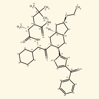 CCO[C@@H]1C[C@@H]2CN(C(=O)[C@@H](NC(=O)[C@H](C)N(CC(C)(C)C)C(=O)O)C3CCCCC3)[C@H](c3nc(C(=O)c4ccccc4)cs3)CN2C1